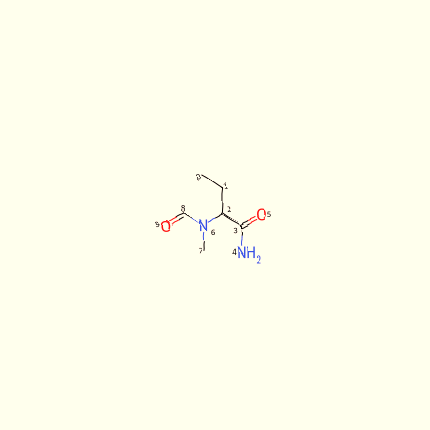 CCC(C(N)=O)N(C)C=O